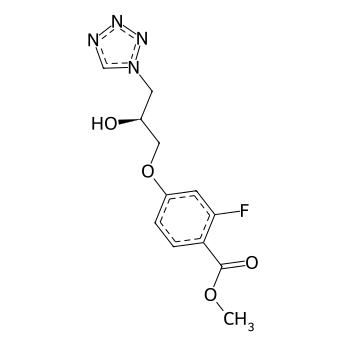 COC(=O)c1ccc(OC[C@@H](O)Cn2cnnn2)cc1F